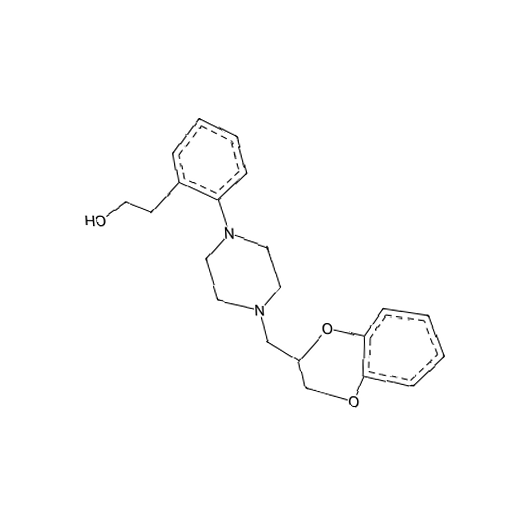 OCCc1ccccc1N1CCN(CC2COc3ccccc3O2)CC1